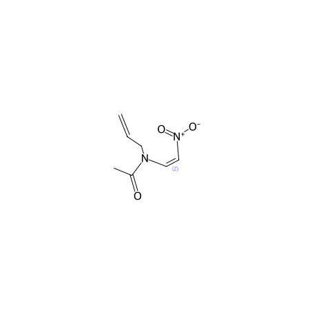 C=CCN(/C=C\[N+](=O)[O-])C(C)=O